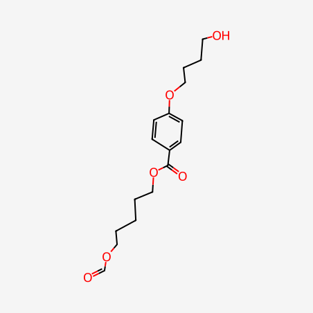 O=COCCCCCOC(=O)c1ccc(OCCCCO)cc1